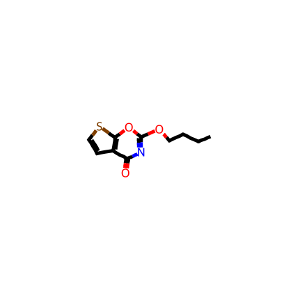 CCCCOc1nc(=O)c2ccsc2o1